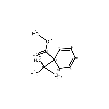 CC(C)(C)C1(C(=O)OO)C=CC=CC1